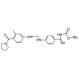 Cc1cc(C#CCNc2ccc(C(=N)NC(=O)OC(C)(C)C)cc2)ccc1C(=O)N1CCCC1